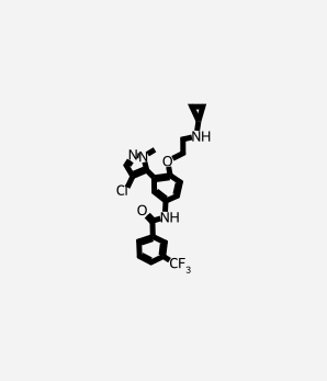 Cn1ncc(Cl)c1-c1cc(NC(=O)c2cccc(C(F)(F)F)c2)ccc1OCCNC1CC1